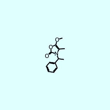 COc1oc(=O)n(C(C)c2ccccc2)c1C